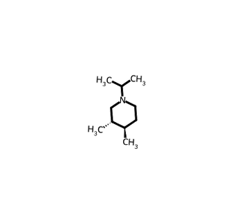 CC(C)N1CC[C@@H](C)[C@H](C)C1